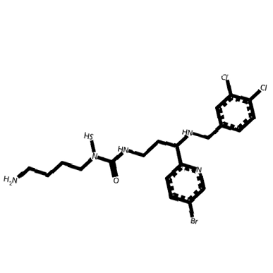 NCCCCN(S)C(=O)NCCC(NCc1ccc(Cl)c(Cl)c1)c1ccc(Br)cn1